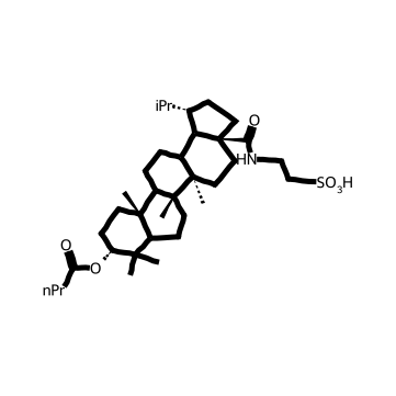 CCCC(=O)O[C@@H]1CC[C@@]2(C)C(CC[C@]3(C)C2CCC2C4[C@H](C(C)C)CC[C@]4(C(=O)NCCS(=O)(=O)O)CC[C@]23C)C1(C)C